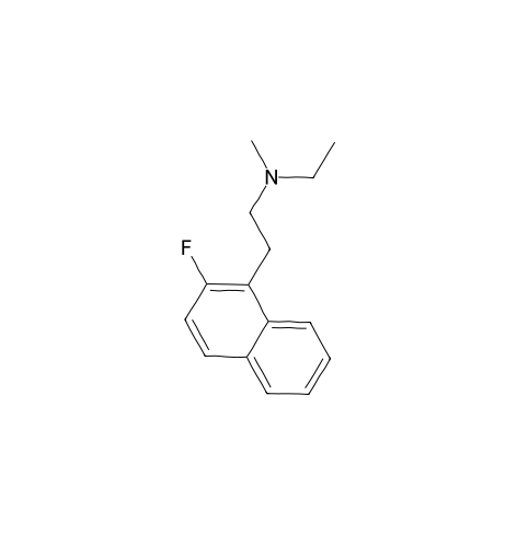 CCN(C)CCc1c(F)ccc2ccccc12